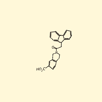 O=C(O)c1ccc2c(c1)CN(C(=O)CC1c3ccccc3-c3ccccc31)CC2